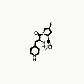 Cl.N#C[C@@H]1C[C@H](F)CN1C(=O)[C@@H](N)CC1CCNCC1